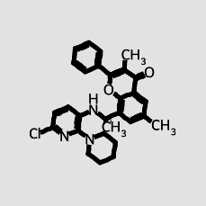 Cc1cc([C@@H](C)Nc2ccc(Cl)nc2N2CCCCC2)c2oc(-c3ccccc3)c(C)c(=O)c2c1